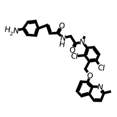 Cc1ccc2cccc(OCc3c(Cl)ccc(N(C)C(=O)CNC(=O)/C=C/c4ccc(N)cc4)c3Cl)c2n1